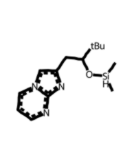 C[SiH](C)OC(Cc1cn2cccnc2n1)C(C)(C)C